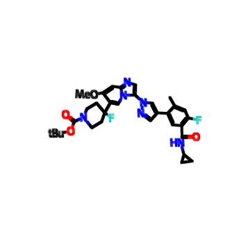 COc1cc2ncc(-n3cc(-c4cc(C(=O)NC5CC5)c(F)cc4C)cn3)n2cc1C1(F)CCN(C(=O)OC(C)(C)C)CC1